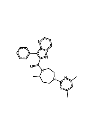 Cc1cc(C)nc(N2CC[C@@H](C)N(C(=O)c3nn4cccnc4c3-c3ccccc3)CC2)n1